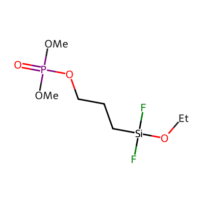 CCO[Si](F)(F)CCCOP(=O)(OC)OC